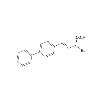 CCC(C=Cc1ccc(-c2ccccc2)cc1)C(=O)O